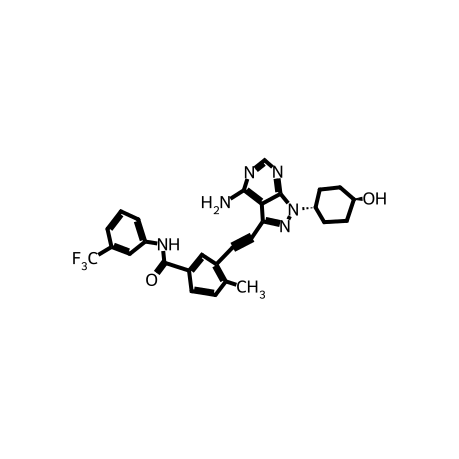 Cc1ccc(C(=O)Nc2cccc(C(F)(F)F)c2)cc1C#Cc1nn([C@H]2CC[C@H](O)CC2)c2ncnc(N)c12